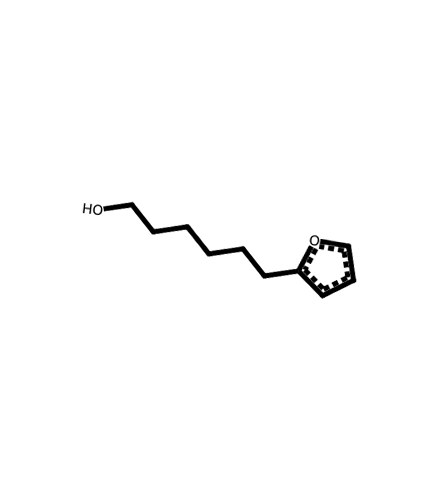 OCCCCCCc1ccco1